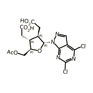 CC(=O)OC[C@@H]1O[C@@H](n2ncc3c(Cl)nc(Cl)nc32)[C@H](CC(=O)O)[C@H]1CC(=O)O